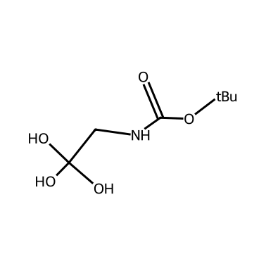 CC(C)(C)OC(=O)NCC(O)(O)O